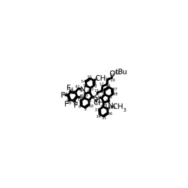 CC1=CC2C3C(C4C=CC=CC4C3[Si](C)(CCCCCCOC(C)(C)C)C3C4C=CC=CC4C4C3C3C=CC=CC3N4C)N(Cc3c(F)c(F)c(F)c(F)c3F)C2C=C1